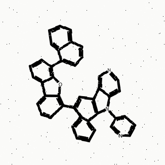 c1cncc(-n2c3ccncc3c3cc(-c4cccc5c4oc4c(-c6cccc7ccccc67)cccc45)c4ccccc4c32)c1